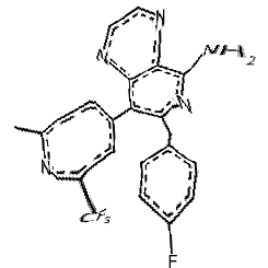 Cc1cc(-c2c(-c3ccc(F)cc3)nc(N)c3nccnc23)cc(C(F)(F)F)n1